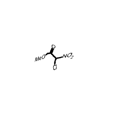 COC(=O)C(Cl)[N+](=O)[O-]